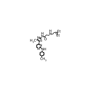 CCN(CC)CCNCCC(=O)Nc1nc(C)c(-c2ccnc(Nc3ccc(C)cc3)n2)s1